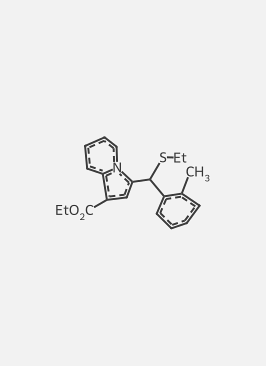 CCOC(=O)c1cc(C(SCC)c2ccccc2C)n2ccccc12